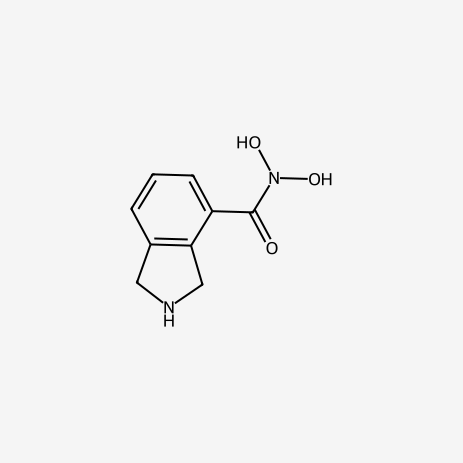 O=C(c1cccc2c1CNC2)N(O)O